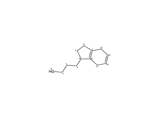 OCCCC1CCC2=C1CC=CC2